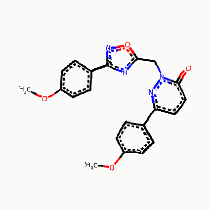 COc1ccc(-c2ccc(=O)n(Cc3nc(-c4ccc(OC)cc4)no3)n2)cc1